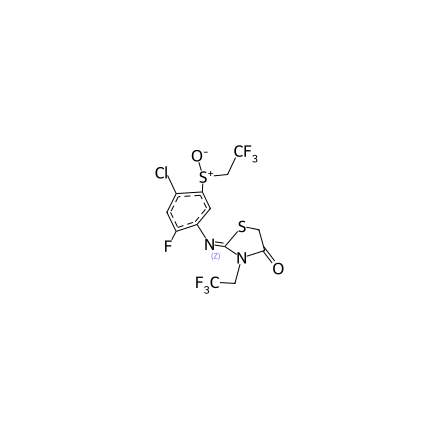 O=C1CS/C(=N\c2cc([S+]([O-])CC(F)(F)F)c(Cl)cc2F)N1CC(F)(F)F